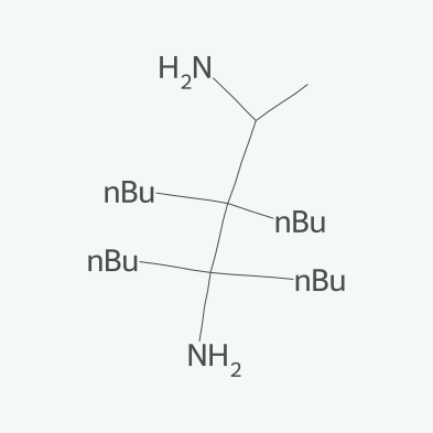 CCCCC(N)(CCCC)C(CCCC)(CCCC)C(C)N